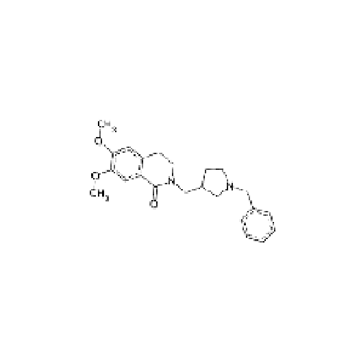 COc1cc2c(cc1OC)C(=O)N(CC1CCN(Cc3ccccc3)C1)CC2